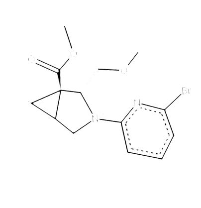 COC[C@@H]1N(c2cccc(Br)n2)CC2C[C@@]21C(=O)OC